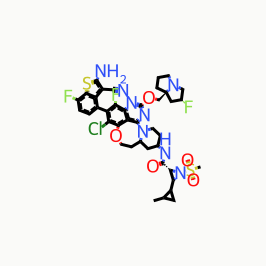 CC1CC1C1[C@H](C(=O)NC2CCN3c4nc(OC[C@@]56CCCN5C[C@H](F)C6)nc5c(F)c(-c6ccc(F)c7sc(N)c(C#N)c67)c(Cl)c(c45)OCCC3C2)N1S(C)(=O)=O